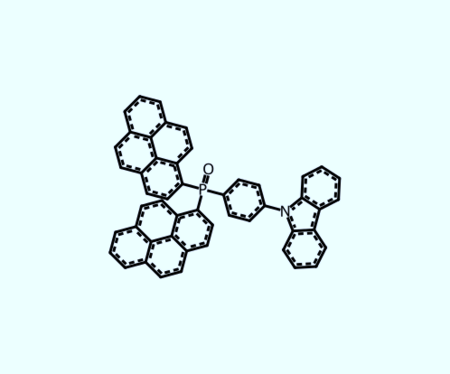 O=P(c1ccc(-n2c3ccccc3c3ccccc32)cc1)(c1ccc2ccc3cccc4ccc1c2c34)c1ccc2ccc3cccc4ccc1c2c34